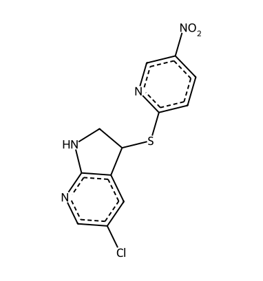 O=[N+]([O-])c1ccc(SC2CNc3ncc(Cl)cc32)nc1